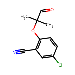 CC(C)(C=O)Oc1ccc(Cl)cc1C#N